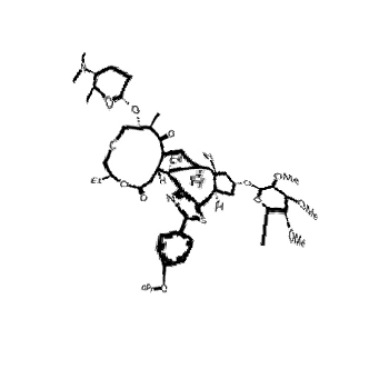 CCCOc1ccc(-c2nc3c(s2)[C@@H]2C[C@@H](O[C@@H]4OC(C)[C@H](OC)C(OC)C4OC)C[C@H]2[C@@H]2C=C4C(=O)[C@H](C)[C@@H](O[C@H]5CC[C@H](N(C)C)C(C)O5)CCC[C@H](CC)OC(=O)C[C@H]4[C@H]32)cc1